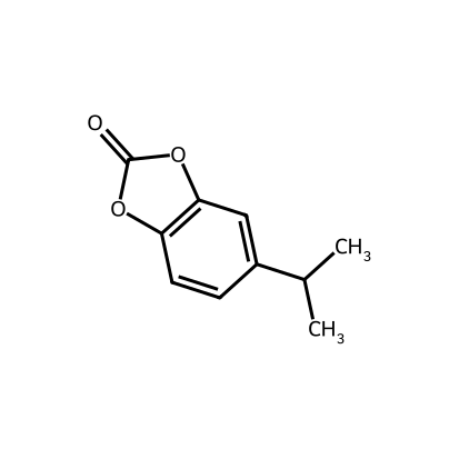 CC(C)c1ccc2oc(=O)oc2c1